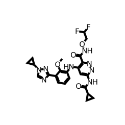 COc1c(Nc2cc(NC(=O)C3CC3)nnc2C(=O)NOCC(F)F)cccc1-c1ncn(C2CC2)n1